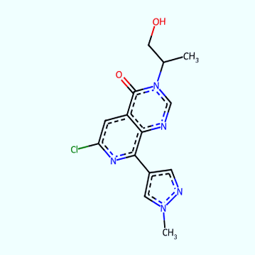 CC(CO)n1cnc2c(-c3cnn(C)c3)nc(Cl)cc2c1=O